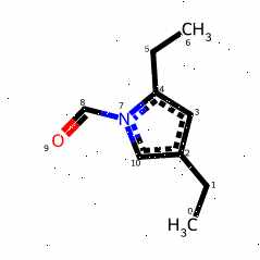 CCc1cc(CC)n(C=O)c1